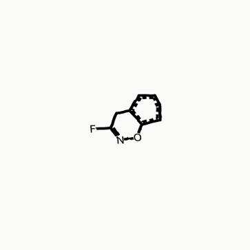 FC1=NOc2ccccc2C1